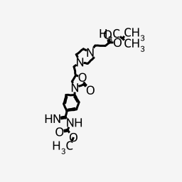 COC(=O)NC(=N)c1ccc(N2CC(CN3CCN(CCC(=O)OC(C)(C)C)CC3)OC2=O)cc1